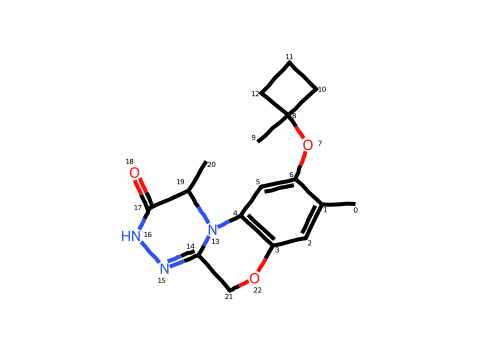 Cc1cc2c(cc1OC1(C)CCC1)N1C(=NNC(=O)C1C)CO2